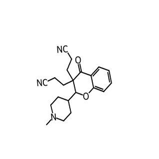 CN1CCC(C2Oc3ccccc3C(=O)C2(CCC#N)CCC#N)CC1